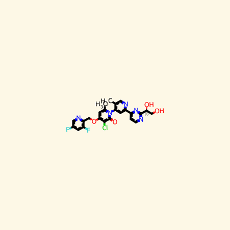 Cc1cnc(-c2ccnc([C@@H](O)CO)n2)cc1-n1c(C)cc(OCc2ncc(F)cc2F)c(Cl)c1=O